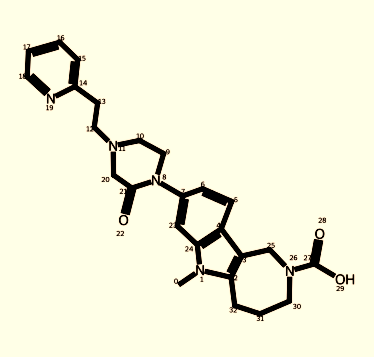 Cn1c2c(c3ccc(N4CCN(CCc5ccccn5)CC4=O)cc31)CN(C(=O)O)CCC2